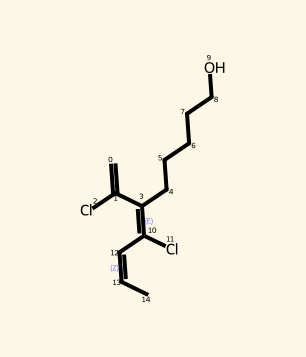 C=C(Cl)/C(CCCCCO)=C(Cl)\C=C/C